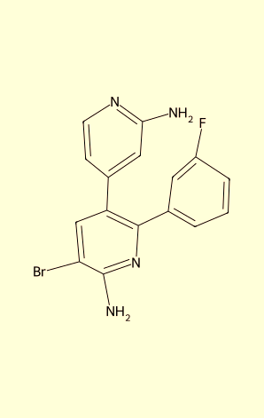 Nc1cc(-c2cc(Br)c(N)nc2-c2cccc(F)c2)ccn1